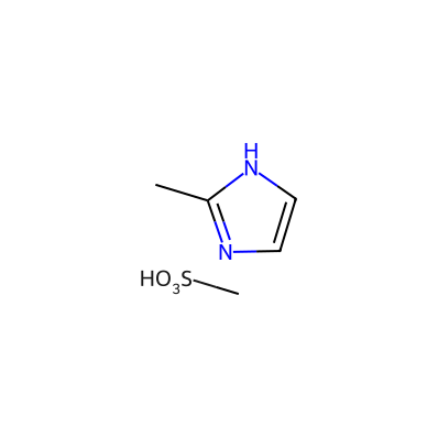 CS(=O)(=O)O.Cc1ncc[nH]1